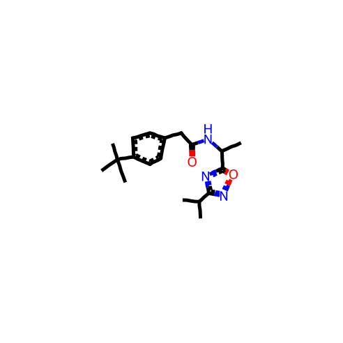 CC(C)c1noc(C(C)NC(=O)Cc2ccc(C(C)(C)C)cc2)n1